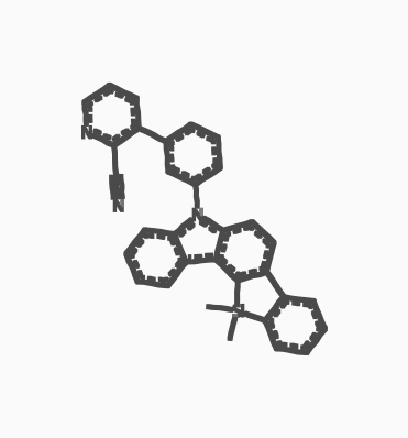 C[Si]1(C)c2ccccc2-c2ccc3c(c21)c1ccccc1n3-c1cccc(-c2cccnc2C#N)c1